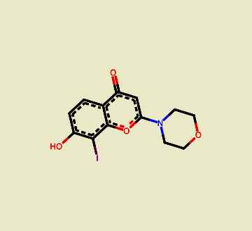 O=c1cc(N2CCOCC2)oc2c(I)c(O)ccc12